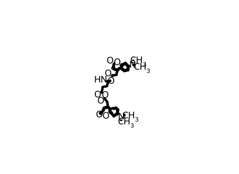 CN(C)c1ccc2c(CC(=O)OC(=N)CCC(=O)OC(=O)Cc3cc(=O)oc4cc(N(C)C)ccc34)cc(=O)oc2c1